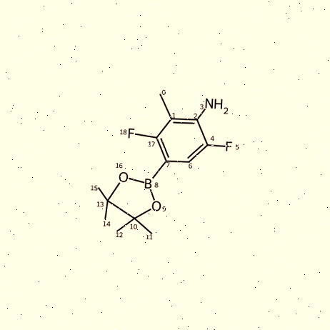 Cc1c(N)c(F)cc(B2OC(C)(C)C(C)(C)O2)c1F